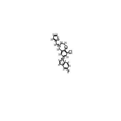 Fc1ccc2c(ccn2-c2cc(Cl)c3c(c2)CN(Cc2cccs2)CCO3)c1